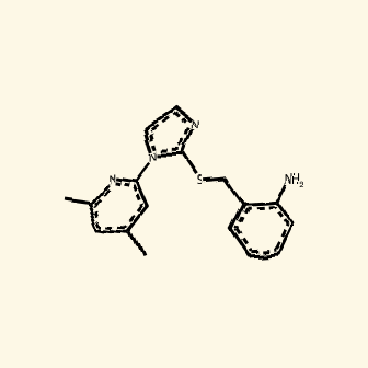 Cc1cc(C)nc(-n2ccnc2SCc2ccccc2N)c1